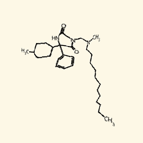 CCCCCCCCCCCCN(C)CN1C(=O)NC(c2ccccc2)(C2CCC(C)CC2)C1=O